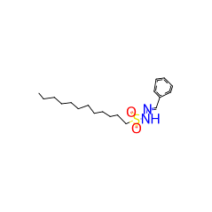 CCCCCCCCCCCCS(=O)(=O)NN=Cc1ccccc1